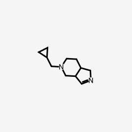 C1=NCC2CCN(CC3CC3)CC12